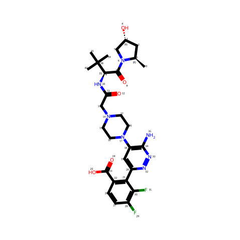 C[C@@H]1C[C@@H](O)CN1C(=O)[C@@H](NC(=O)CN1CCN(c2cc(-c3c(C(=O)O)ccc(F)c3F)nnc2N)CC1)C(C)(C)C